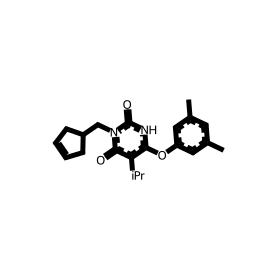 Cc1cc(C)cc(Oc2[nH]c(=O)n(CC3CC=CC3)c(=O)c2C(C)C)c1